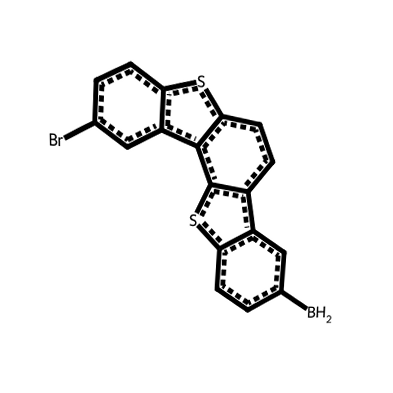 Bc1ccc2sc3c(ccc4sc5ccc(Br)cc5c43)c2c1